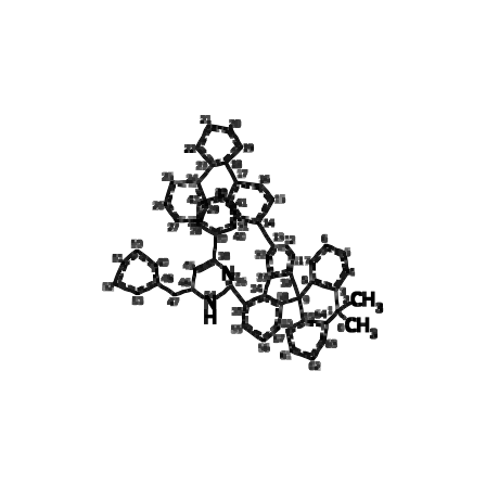 CC1(C)c2ccccc2C2(c3ccc(-c4ccc(-c5ccccc5-c5ccccc5)cc4)cc3-c3c(C4=NC(c5ccccc5)=CC(Cc5ccccc5)N4)cccc32)c2ccccc21